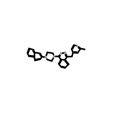 Cc1cc(Cc2nnc(N3CCN(c4ccc5ccccc5c4)CC3)c3ccccc23)ccn1